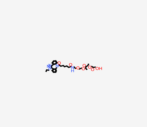 CCCn1nnc2c1-c1ccccc1CN(C(=O)CCCCCC(=O)NCCOCCOC(C)C(=O)C(C)OCC(=O)CO)c1ccccc1-2